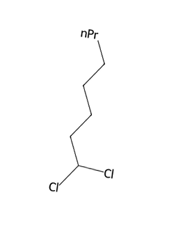 CCCCCCCC(Cl)Cl